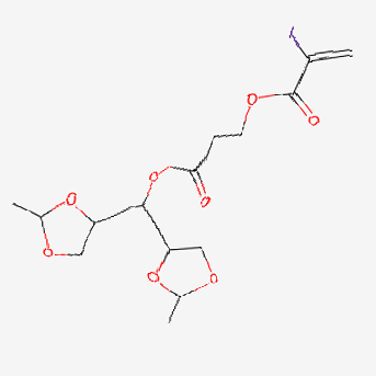 C=C(I)C(=O)OCCC(=O)OC(C1COC(C)O1)C1COC(C)O1